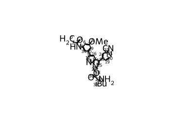 C=CC(=O)Nc1cc(OC)cc(-c2cnc3c(c2)c(-c2ccnc(C#N)c2)cn3COC(=O)[C@@H](N)[C@@H](C)CC)c1